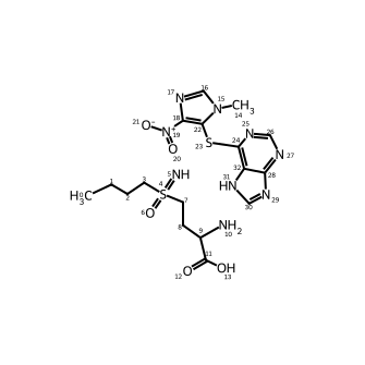 CCCCS(=N)(=O)CCC(N)C(=O)O.Cn1cnc([N+](=O)[O-])c1Sc1ncnc2nc[nH]c12